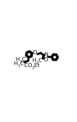 CCOC(=O)C(C)(C)Cc1cccc(OCCc2nc(-c3ccccc3)oc2C)c1